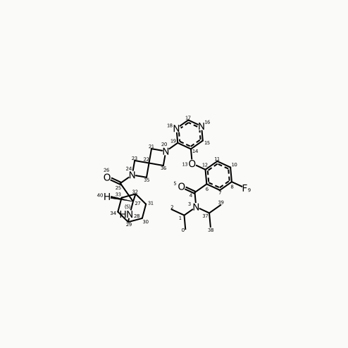 CC(C)N(C(=O)c1cc(F)ccc1Oc1cncnc1N1CC2(CN(C(=O)[C@H]3NC4CCC3CC4)C2)C1)C(C)C